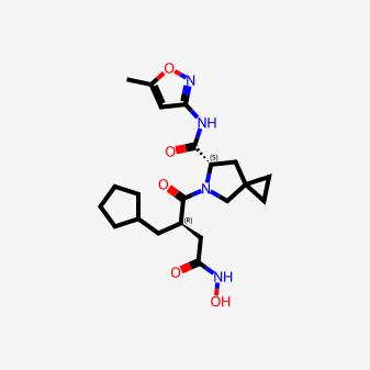 Cc1cc(NC(=O)[C@@H]2CC3(CC3)CN2C(=O)[C@@H](CC(=O)NO)CC2CCCC2)no1